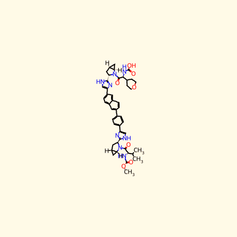 COC(=O)N[C@H](C(=O)N1[C@@H]2C[C@@H]2C[C@H]1c1nc(-c2ccc(-c3ccc4cc(-c5c[nH]c([C@@H]6C[C@H]7C[C@H]7N6C(=O)[C@@H](NC(=O)O)C6CCOCC6)n5)ccc4c3)cc2)c[nH]1)C(C)C